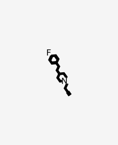 C#CCCN1CCC(CCc2ccc(F)cc2)CC1